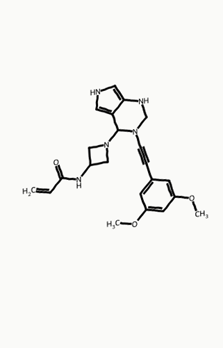 C=CC(=O)NC1CN(C2c3c[nH]cc3NCN2C#Cc2cc(OC)cc(OC)c2)C1